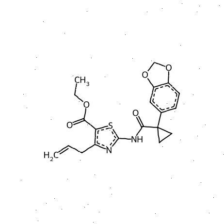 C=CCc1nc(NC(=O)C2(c3ccc4c(c3)OCO4)CC2)sc1C(=O)OCC